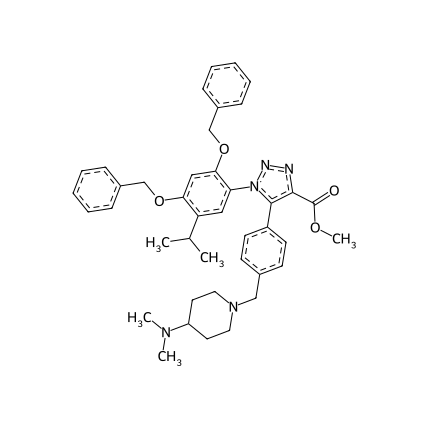 COC(=O)c1nnn(-c2cc(C(C)C)c(OCc3ccccc3)cc2OCc2ccccc2)c1-c1ccc(CN2CCC(N(C)C)CC2)cc1